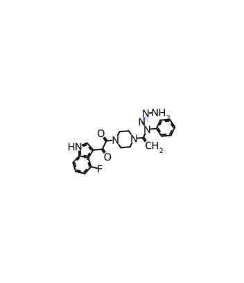 C=C(N1CCN(C(=O)C(=O)c2c[nH]c3cccc(F)c23)CC1)N(/N=N\N)c1ccccc1